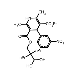 CCCC(CCC)(COC(=O)C1=C(C)NC(C)=C(C(=O)OCC)C1c1cccc([N+](=O)[O-])c1)C(O)O